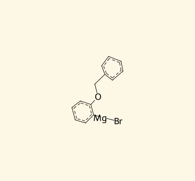 [Br][Mg][c]1ccccc1OCc1ccccc1